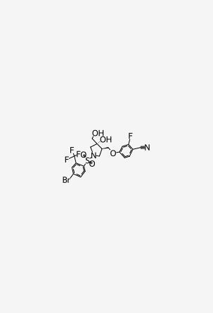 N#Cc1ccc(OC[C@H]2CN(S(=O)(=O)c3ccc(Br)cc3C(F)(F)F)C[C@@]2(O)CO)cc1F